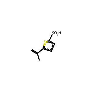 C=C(C)c1ccc(S(=O)(=O)O)s1